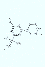 CC(C)(C)c1cc(Cl)cc(N2CCNCC2)c1